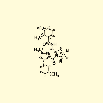 Cc1cccc(-c2sc(C)nc2C(=O)N2[C@H](CNC(=O)c3cccc(F)c3C)C[C@H]3C[C@@H]32)c1